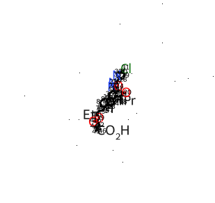 CC[C@H](CC[C@@]1(C)[C@H](C)CC[C@]2(C)[C@@H]1CC[C@@H]1C3=C(C(C)C)C(=O)C[C@]3(c3nnc(-c4ccc(Cl)cn4)o3)CC[C@]12C)OC(=O)CC(C)(C)C(=O)O